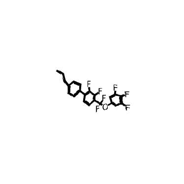 CCCc1ccc(-c2ccc(C(F)(F)Oc3cc(F)c(F)c(F)c3)c(F)c2F)cc1